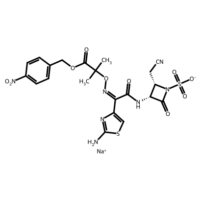 CC(C)(ON=C(C(=O)N[C@H]1C(=O)N(S(=O)(=O)[O-])[C@H]1CC#N)c1csc(N)n1)C(=O)OCc1ccc([N+](=O)[O-])cc1.[Na+]